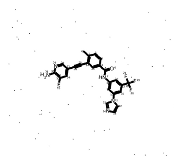 Cc1ccc(C(=O)Nc2cc(-n3ccnc3)cc(C(F)(F)F)c2)cc1C#Cc1cnc(N)c(F)c1